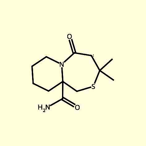 CC1(C)[C]C(=O)N2CCCCC2(C(N)=O)CS1